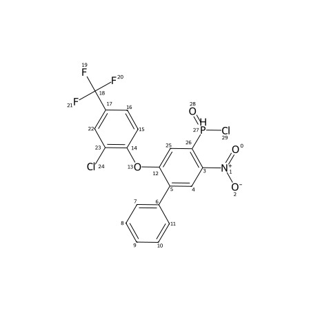 O=[N+]([O-])c1cc(-c2ccccc2)c(Oc2ccc(C(F)(F)F)cc2Cl)cc1[PH](=O)Cl